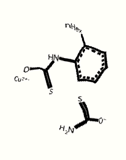 CCCCCCc1ccccc1NC([O-])=S.NC([O-])=S.[Cu+2]